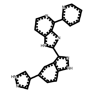 c1ccc(-c2nccc3[nH]c(-c4n[nH]c5ccc(-c6cn[nH]c6)cc45)nc23)nc1